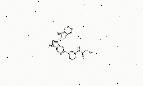 CC(C)CC(=O)Nc1cncc(-c2cc3c(-c4cc5cnccc5[nH]4)n[nH]c3cn2)c1